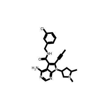 CC#Cc1c(C(=O)NCc2cccc(Cl)c2)c2c(N)ncnc2n1C1CC(C)N(C)C1